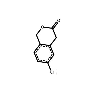 Cc1ccc2c(c1)CC(=O)OC2